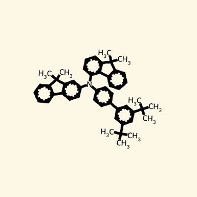 CC(C)(C)c1cc(-c2ccc(N(c3ccc4c(c3)C(C)(C)c3ccccc3-4)c3cccc4c3-c3ccccc3C4(C)C)cc2)cc(C(C)(C)C)c1